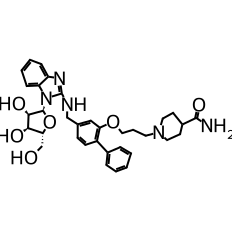 NC(=O)C1CCN(CCCOc2cc(CNc3nc4ccccc4n3[C@@H]3O[C@H](CO)[C@@H](O)[C@H]3O)ccc2-c2ccccc2)CC1